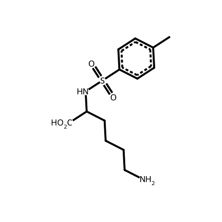 Cc1ccc(S(=O)(=O)NC(CCCCN)C(=O)O)cc1